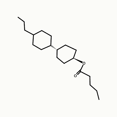 CCCCC(=O)O[C@H]1CC[C@H](C2CCC(CCC)CC2)CC1